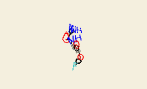 O=C(NC[C@H]1CC[C@@H](CCOc2ccc(F)cc2)CO1)c1cn[nH]c1